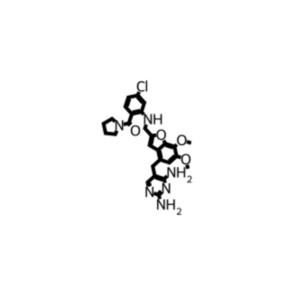 COc1cc(Cc2cnc(N)nc2N)c2cc(CNc3cc(Cl)ccc3C(=O)N3CCCC3)oc2c1OC